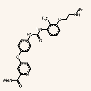 CNC(=O)c1cc(Oc2ccc(NC(=O)Nc3cccc(OCCNC(C)C)c3C(F)(F)F)cc2)ccn1